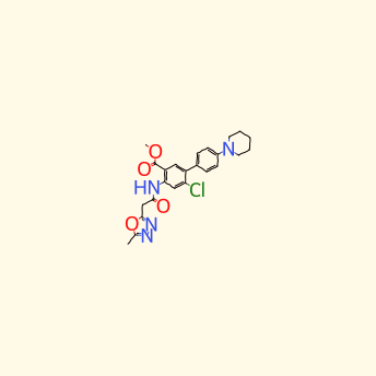 COC(=O)c1cc(-c2ccc(N3CCCCC3)cc2)c(Cl)cc1NC(=O)Cc1nnc(C)o1